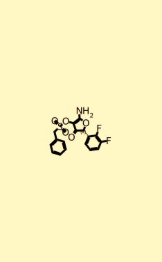 NC1=C(OS(=O)(=O)Cc2ccccc2)C(=O)[C@@H](c2cccc(F)c2F)O1